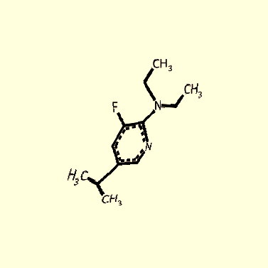 CCN(CC)c1ncc(C(C)C)cc1F